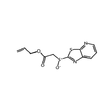 C=CCOC(=O)C[S+]([O-])c1nc2cccnc2s1